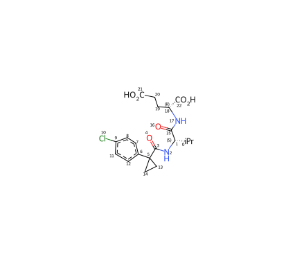 CC(C)[C@H](NC(=O)C1(c2ccc(Cl)cc2)CC1)C(=O)N[C@H](CCC(=O)O)C(=O)O